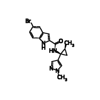 C[C@H]1C[C@]1(NC(=O)c1cc2cc(Br)ccc2[nH]1)c1cnn(C)c1